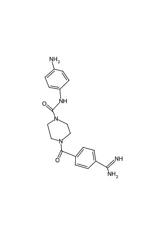 N=C(N)c1ccc(C(=O)N2CCN(C(=O)Nc3ccc(N)cc3)CC2)cc1